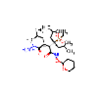 CC(C)C[C@@H](C(=O)NN)[C@@H](C(=O)NOC1CCCCO1)C(CC(C)C)(CC(C)C)S(C)(=O)=O